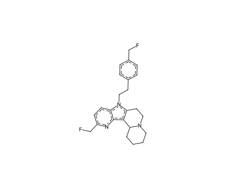 FCc1ccc(CCn2c3c(c4nc(CF)ccc42)C2CCCCN2CC3)cc1